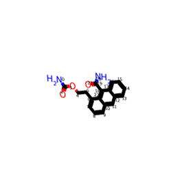 NC(=O)OCCc1cccc2cc3ccccc3c(C(N)=O)c12